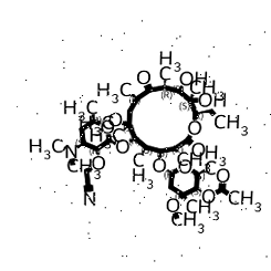 CC[C@H]1OC(=O)[C@H](C)[C@@H](O[C@H]2C[C@@](C)(OC)[C@@H](OC(C)=O)[C@H](C)O2)[C@H](C)[C@@H](O[C@@H]2O[C@H](C)C[C@H](N(C)C)[C@H]2OCC#N)[C@@](C)(OC)C[C@@H](C)C(=O)[C@H](C)[C@@H](O)[C@]1(C)O